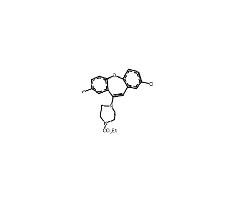 CCOC(=O)N1CCN(C2=Cc3cc(Cl)ccc3Oc3ccc(F)cc32)CC1